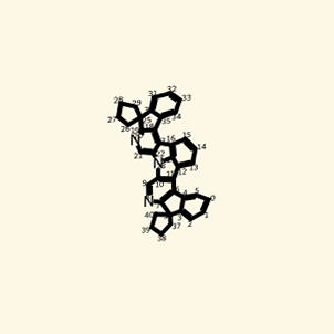 c1ccc2c(c1)-c1c(ncc3c1c1cccc4c5c6c(ncc5n3c14)C1(CCCC1)c1ccccc1-6)C21CCCC1